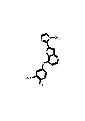 COc1cc(Oc2ccnc3cc(-c4nccn4C)sc23)ccc1[N+](=O)[O-]